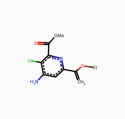 C=C(OCC)c1cc(N)c(Cl)c(C(=O)OC)n1